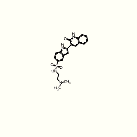 CN(C)CCNS(=O)(=O)c1ccc2[nH]c(-c3cc4ccccc4[nH]c3=O)cc2c1